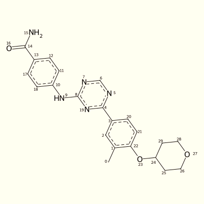 Cc1cc(-c2ncnc(Nc3ccc(C(N)=O)cc3)n2)ccc1OC1CCOCC1